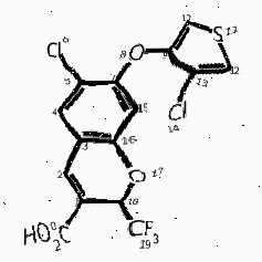 O=C(O)C1=Cc2cc(Cl)c(Oc3cscc3Cl)cc2OC1C(F)(F)F